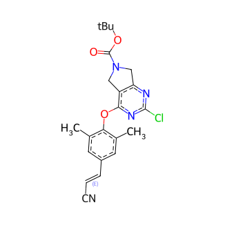 Cc1cc(/C=C/C#N)cc(C)c1Oc1nc(Cl)nc2c1CN(C(=O)OC(C)(C)C)C2